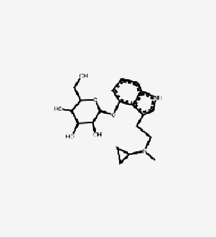 CN(CCc1c[nH]c2cccc(OC3OC(CO)C(O)C(O)C3O)c12)C1CC1